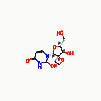 O=C1C=CN([C@@H]2O[C@H](CO)[C@@H](O)[C@]23CCO3)C(O)N1